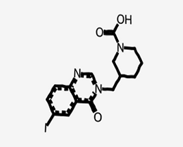 O=C(O)N1CCCC(Cn2cnc3ccc(I)cc3c2=O)C1